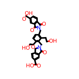 O=C(O)c1ccc2c(c1)C(=O)N(Cc1ccc(CCO)c(CN3C(=O)c4ccc(C(=O)O)cc4C3=O)c1CCO)C2=O